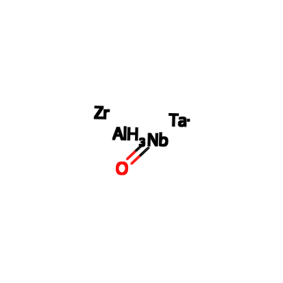 [AlH3].[O]=[Nb].[Ta].[Zr]